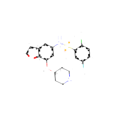 Cl.O=S(=O)(Nc1cc(O[C@@H]2CCNC[C@H]2F)c2occc2c1)c1cc(F)ccc1Cl